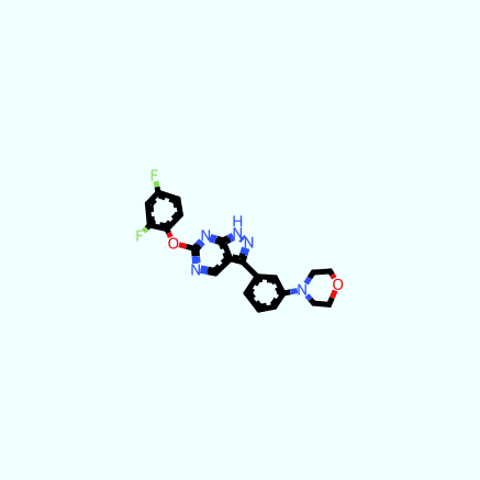 Fc1ccc(Oc2ncc3c(-c4cccc(N5CCOCC5)c4)n[nH]c3n2)c(F)c1